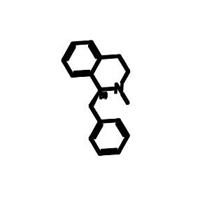 CN1CCc2ccccc2[C@@H]1Cc1ccccc1